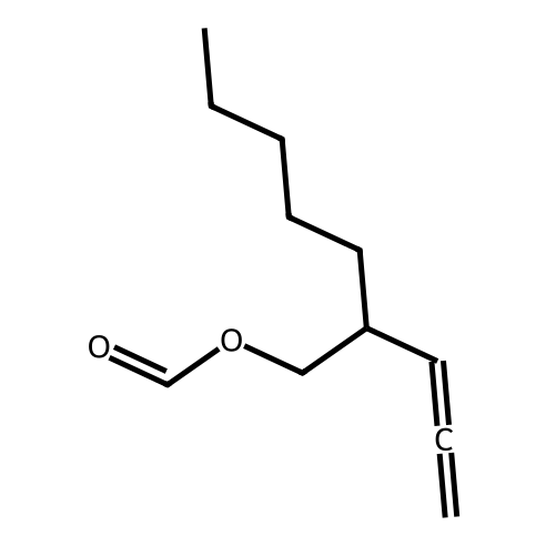 C=C=CC(CCCCC)COC=O